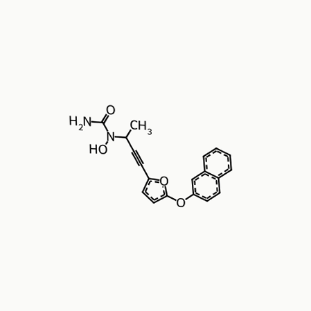 CC(C#Cc1ccc(Oc2ccc3ccccc3c2)o1)N(O)C(N)=O